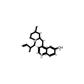 C=CC(C)CN1CCC(C)CC1Cc1ccnc2ccc(O)cc12